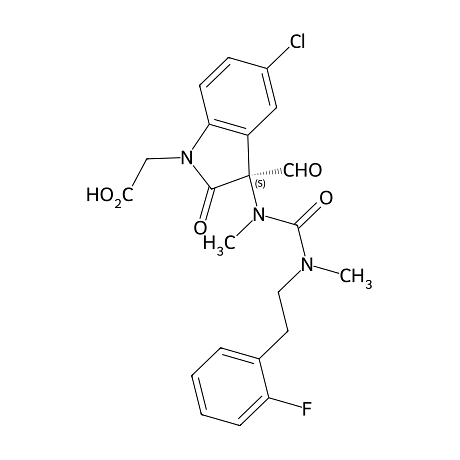 CN(CCc1ccccc1F)C(=O)N(C)[C@@]1(C=O)C(=O)N(CC(=O)O)c2ccc(Cl)cc21